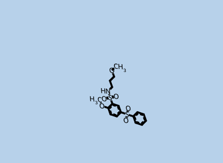 COCCCNS(=O)(=O)c1cc(S(=O)(=O)c2ccccc2)ccc1OC